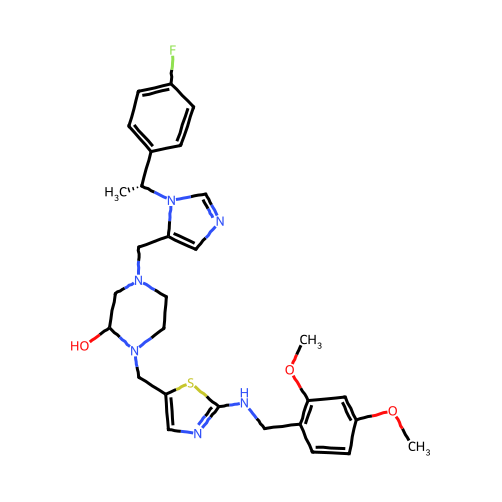 COc1ccc(CNc2ncc(CN3CCN(Cc4cncn4[C@H](C)c4ccc(F)cc4)CC3O)s2)c(OC)c1